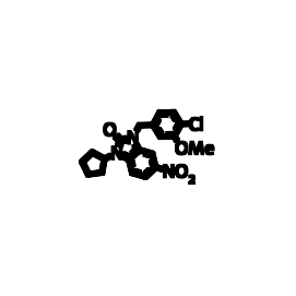 COc1cc(Cn2c(=O)n(C3CCCC3)c3ccc([N+](=O)[O-])cc32)ccc1Cl